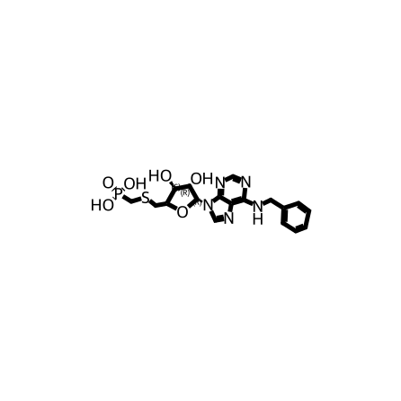 O=P(O)(O)CSCC1O[C@@H](n2cnc3c(NCc4ccccc4)ncnc32)[C@H](O)[C@@H]1O